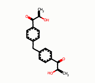 C=C(O)C(=O)c1ccc(Cc2ccc(C(=O)C(=C)O)cc2)cc1